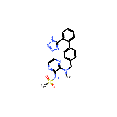 CCCN(Cc1ccc(-c2ccccc2-c2nnn[nH]2)cc1)c1nccnc1NS(=O)(=O)C(F)(F)F